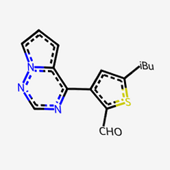 CCC(C)c1cc(-c2ncnn3cccc23)c(C=O)s1